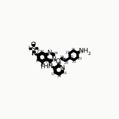 CS(C)(=O)=Nc1cc(F)c2c(Nc3cccnc3O/C=C/C3CCC(N)CC3)ncnc2c1